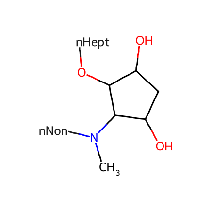 CCCCCCCCCN(C)C1C(O)CC(O)C1OCCCCCCC